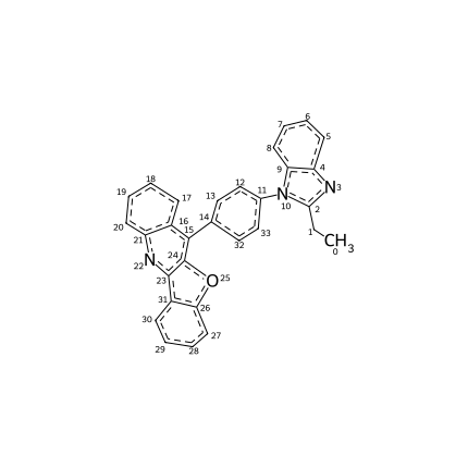 CCc1nc2ccccc2n1-c1ccc(-c2c3ccccc3nc3c2oc2ccccc23)cc1